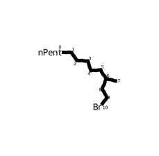 CCCCCCCCCCC(C)CCBr